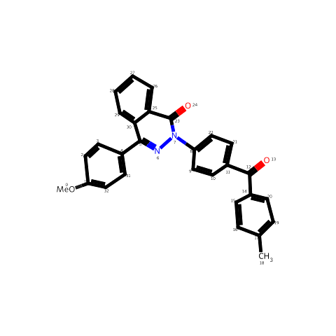 COc1ccc(-c2nn(-c3ccc(C(=O)c4ccc(C)cc4)cc3)c(=O)c3ccccc23)cc1